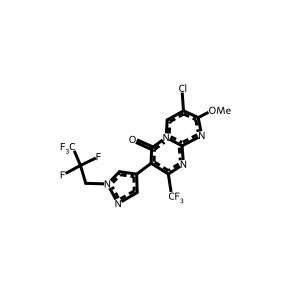 COc1nc2nc(C(F)(F)F)c(-c3cnn(CC(F)(F)C(F)(F)F)c3)c(=O)n2cc1Cl